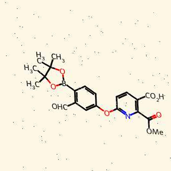 COC(=O)c1nc(Oc2ccc(B3OC(C)(C)C(C)(C)O3)c(C=O)c2)ccc1C(=O)O